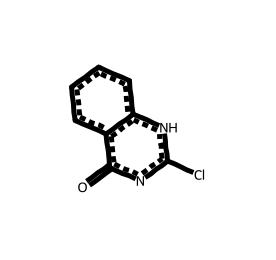 O=c1nc(Cl)[nH]c2ccccc12